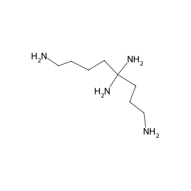 NCCCCC(N)(N)CCCN